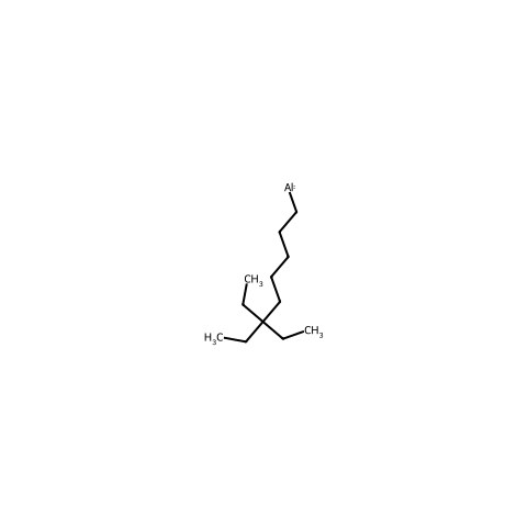 CCC(CC)(CC)CCCC[CH2][Al]